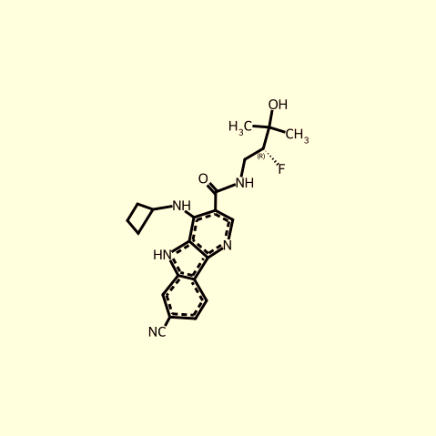 CC(C)(O)[C@H](F)CNC(=O)c1cnc2c([nH]c3cc(C#N)ccc32)c1NC1CCC1